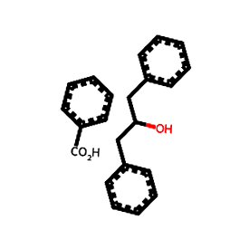 O=C(O)c1ccccc1.OC(Cc1ccccc1)Cc1ccccc1